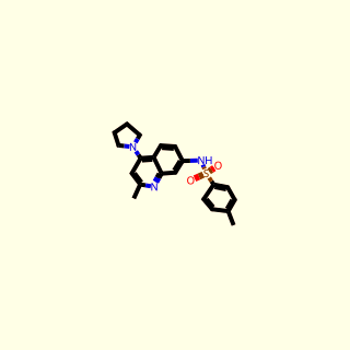 Cc1ccc(S(=O)(=O)Nc2ccc3c(N4CCCC4)cc(C)nc3c2)cc1